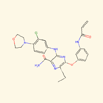 C=CC(=O)Nc1cccc(Oc2nc(Nc3ccc(N4CCOCC4)c(Cl)c3)c(C(N)=O)nc2CC)c1